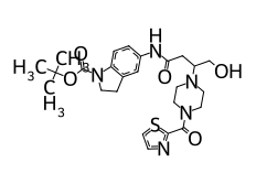 CC(C)(C)OC(=O)N1CCc2cc(NC(=O)CC(CO)N3CCN(C(=O)c4nccs4)CC3)ccc21